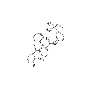 Cc1c(F)cccc1C(=O)N1CCC[C@H](C(=O)Nc2cccc(C(C)(C)C)c2)[C@@H]1C1C=CC=CC1